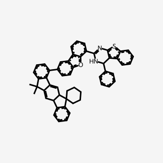 CC1(C)C2=CC3c4ccccc4C4(CCCCC4)C3C=C2c2c(-c3ccc4oc5c(C6=Nc7sc8ccccc8c7C(c7ccccc7)N6)cccc5c4c3)cccc21